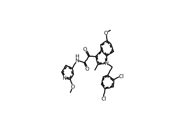 COc1ccc2c(c1)c(C(=O)C(=O)Nc1ccnc(OC)c1)c(C)n2Cc1ccc(Cl)cc1Cl